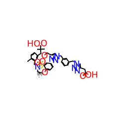 Cc1ccc(C(OCc2cn(Cc3cccc(Cn4cc(CC(=O)O)nn4)c3)nn2)C(C)(C)C(=O)O)cc1CN1C[C@@H](C)Oc2ccccc2S1(=O)=O